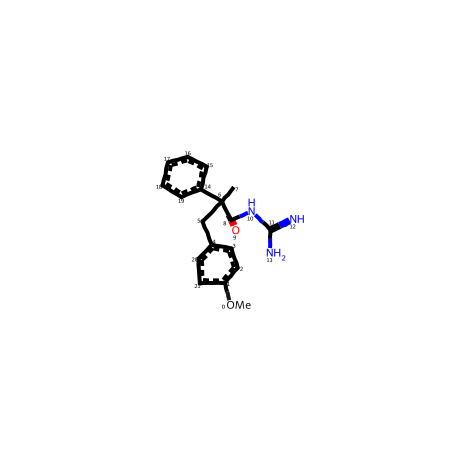 COc1ccc(CC(C)(C(=O)NC(=N)N)c2ccccc2)cc1